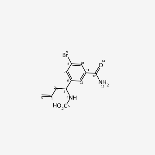 C=CC[C@H](NC(=O)O)c1cc(Br)cc(C(N)=O)c1